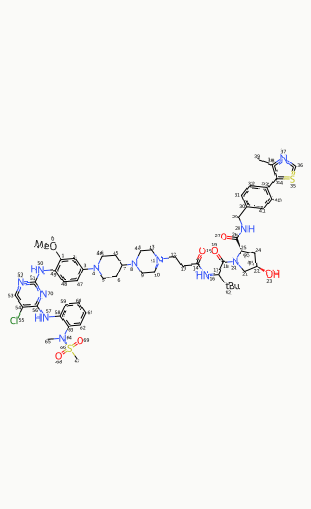 COc1cc(N2CCC(N3CCN(CCC(=O)NC(C(=O)N4C[C@H](O)C[C@@H]4C(=O)NCc4ccc(-c5scnc5C)cc4)C(C)(C)C)CC3)CC2)ccc1Nc1ncc(Cl)c(Nc2ccccc2N(C)S(C)(=O)=O)n1